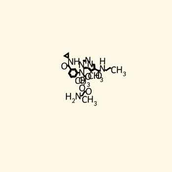 CCCNC(=O)c1cn2ncnc(N(C(=O)OCOC(=O)C(C)N)c3cc(C(=O)NC4CC4)ccc3C)c2c1C